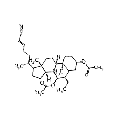 CC[C@@H]1C2C[C@H](OC(C)=O)CC[C@@]2(C)[C@H]2CCC3(C)C([C@H](C)CC/C=C/C#N)CC[C@H]3C2[C@@H]1OC(C)=O